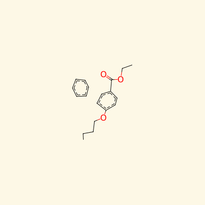 CCCCOc1ccc(C(=O)OCC)cc1.c1ccccc1